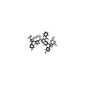 COCCCn1c([S+](C)[O-])nc(-c2ccc(F)cc2)c1-c1ccnc(NC(=O)CN(c2cc(-c3c(-c4ccc(F)cc4)nc([S+](C)[O-])n3CCOC)ccn2)C(C)c2ccccc2)c1